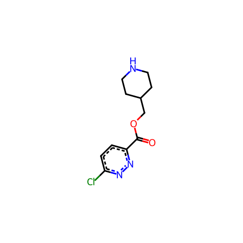 O=C(OCC1CCNCC1)c1ccc(Cl)nn1